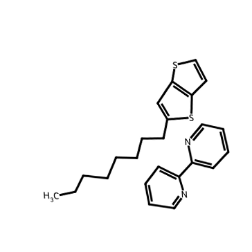 CCCCCCCCc1cc2sccc2s1.c1ccc(-c2ccccn2)nc1